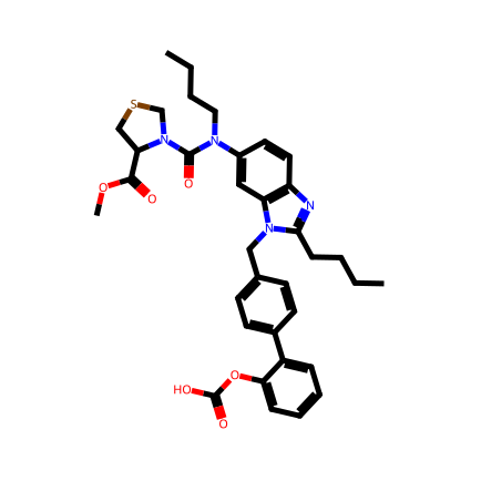 CCCCc1nc2ccc(N(CCCC)C(=O)N3CSCC3C(=O)OC)cc2n1Cc1ccc(-c2ccccc2OC(=O)O)cc1